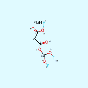 O=C(CC(=O)OB(OF)OF)OF.[LiH]